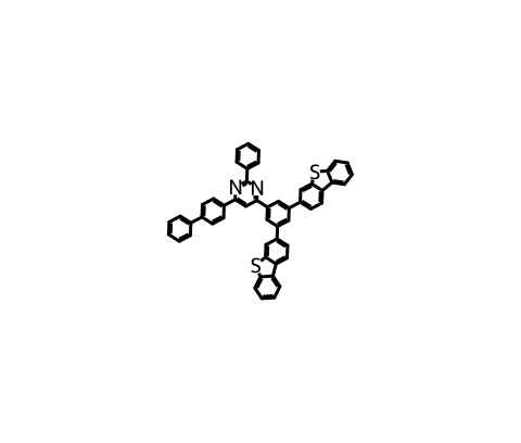 c1ccc(-c2ccc(-c3cc(-c4cc(-c5ccc6c(c5)sc5ccccc56)cc(-c5ccc6c(c5)sc5ccccc56)c4)nc(-c4ccccc4)n3)cc2)cc1